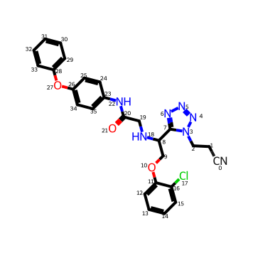 N#CCCn1nnnc1C(COc1ccccc1Cl)NCC(=O)Nc1ccc(Oc2ccccc2)cc1